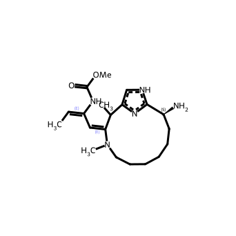 C/C=C(\C=C1/C(C)c2c[nH]c(n2)[C@@H](N)CCCCCCN1C)NC(=O)OC